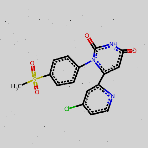 CS(=O)(=O)c1ccc(-n2c(-c3cc(Cl)ccn3)cc(=O)[nH]c2=O)cc1